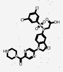 Cl.O=C(O)CN(c1ccc2c(c1)CCN2c1cnc(C(=O)N2CCNCC2)cn1)S(=O)(=O)c1cc(Cl)cc(Cl)c1